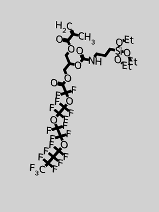 C=C(C)C(=O)OCC(COC(=O)C(F)(F)OC(F)(F)C(F)(F)OC(F)(F)C(F)(F)OC(F)(F)C(F)(F)C(F)(F)C(F)(F)F)OC(=O)NCCC[Si](OCC)(OCC)OCC